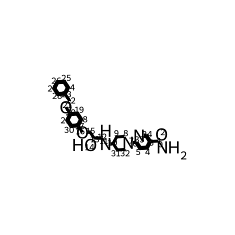 NC(=O)c1ccc(N2CCC(NCC(O)COc3ccc(OCc4ccccc4)cc3)CC2)nc1